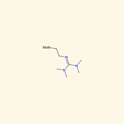 CNCCN=C(N(C)C)N(C)C